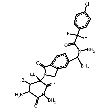 BC1C(=O)N(B)C(=O)C(B)(N2Cc3cc(C(B)N(B)C(=O)C(F)(F)c4ccc(Cl)cc4)ccc3C2=O)C1B